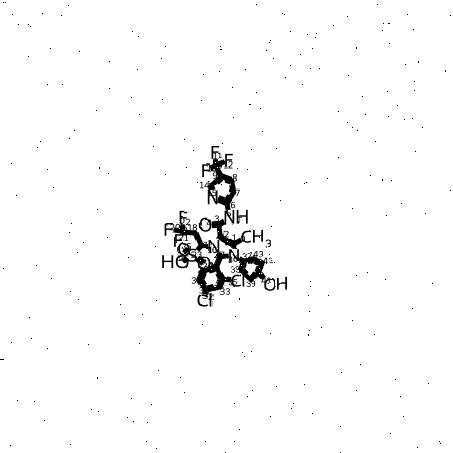 CC1=C(C(=O)Nc2ccc(C(F)(F)F)cn2)N(C(CC(F)(F)F)S(=O)(=O)O)C(c2ccc(Cl)cc2Cl)N1c1ccc(O)cc1